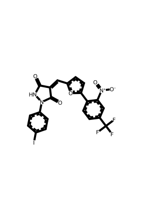 O=C1NN(c2ccc(I)cc2)C(=O)C1=Cc1ccc(-c2ccc(C(F)(F)F)cc2[N+](=O)[O-])o1